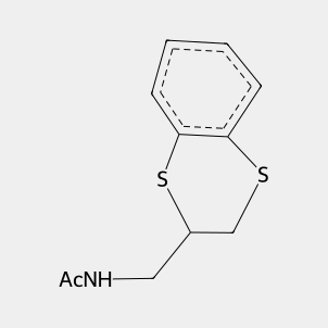 CC(=O)NCC1CSc2ccccc2S1